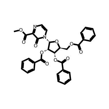 COC(=O)c1nccn([C@@H]2O[C@@H](COC(=O)c3ccccc3)[C@H](OC(=O)c3ccccc3)[C@@H]2OC(=O)c2ccccc2)c1=O